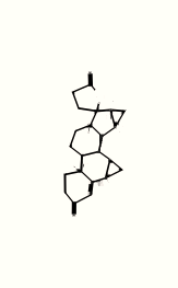 C[C@]12CCC(=O)C=C1[C@@H]1CC1C1C2CC[C@@]2(C)C1[C@@H]1C[C@@H]1C21CCC(=O)O1